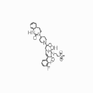 CS(=O)(=O)CCN1C(=O)C(c2cccc(F)c2F)=CN(CC(=O)N2CCC(N3CCc4ccccc4NC3=O)CC2)C1O